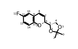 CC1(C)OC[C@@H]([C@H]2C=Cc3cc(F)ccc3O2)O1